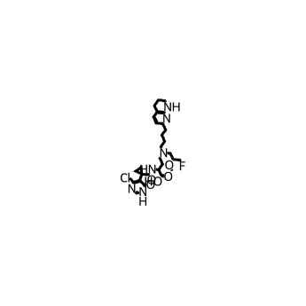 COC(CF)CN(CCCCc1ccc2c(n1)NCCC2)CCC(NC(=O)C1(c2c(Cl)nc[nH]c2=O)CC1)C(=O)O